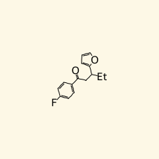 CCC(CC(=O)c1ccc(F)cc1)c1ccco1